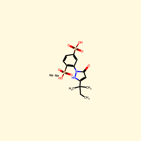 CCC(C)(C)c1cc(=O)n(-c2cc(S(=O)(=O)O)ccc2S(=O)(=O)O)[nH]1.[Na].[Na]